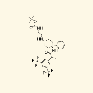 CC(C(=O)NC1(c2ccccc2)CCC(NCCNC(=O)OC(C)(C)C)CC1)c1cc(C(F)(F)F)cc(C(F)(F)F)c1